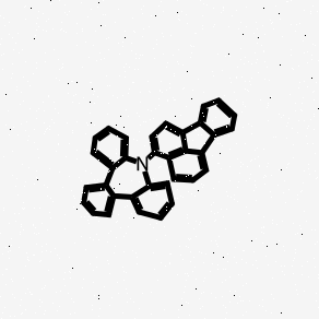 c1ccc2c(c1)-c1ccccc1N(c1ccc3c4c(cccc14)-c1ccccc1-3)c1ccccc1-2